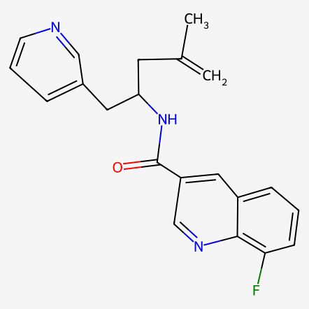 C=C(C)CC(Cc1cccnc1)NC(=O)c1cnc2c(F)cccc2c1